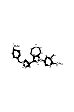 COc1ccc(Cn2cc(-c3nn(-c4cnc(OC)c(C)c4)c4c3CCOCC4)cn2)cc1